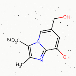 CCOC(=O)c1c(C)nc2c(O)cc(CO)cn12